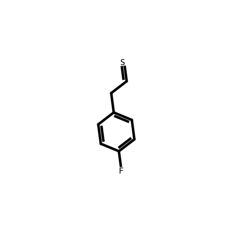 Fc1ccc(CC=S)cc1